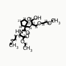 CCOC(=O)[C@H](CCSC)NC(=O)C1(C[C@H](COCCOC)C(=O)O)CCCC1